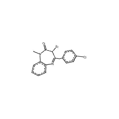 CCC1C(=O)N(C)c2ccccc2N=C1c1ccc(Cl)cc1